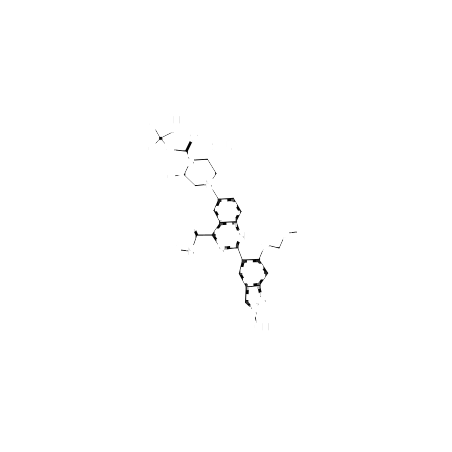 CNC(=O)c1nc(-c2cc3cn(C)nc3cc2OCOC)nc2ccc(N3C[C@@H](C)N(C(=O)OC(C)(C)C)[C@H](C)C3)cc12